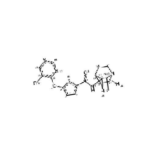 C[C@H]1[C@H](NC(=O)c2ccc(Oc3ncccc3Cl)s2)C2CCN1CC2